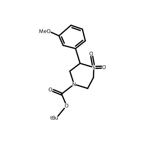 COc1cccc(C2CN(C(=O)OC(C)(C)C)CCS2(=O)=O)c1